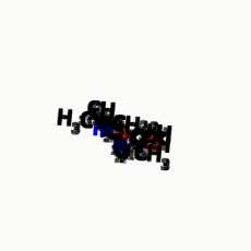 [2H]C([2H])([2H])Oc1cccc([C@@H]2CCCN2C(=O)Cn2nc(C(C)C)cc2C)c1C